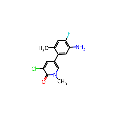 Cc1cc(F)c(N)cc1-c1cc(Cl)c(=O)n(C)c1